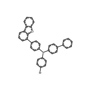 Brc1ccc(N(c2ccc(-c3ccccc3)cc2)c2ccc(-c3cccc4c3oc3ccccc34)cc2)cc1